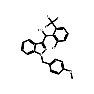 COc1ccc(Cn2nc(C(O)c3c(Cl)cccc3C(F)(F)F)c3ccccc32)cc1